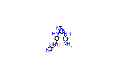 N[C@H]1CC[C@H](Nc2cc(Nc3ccc(C(=O)NCc4ccncc4)cc3)c3nccn3n2)CC1